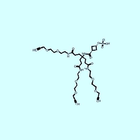 C#CCOCCOCCNC(=O)CCC(CCC(=O)NCCOCCOCC#C)(CCC(=O)NCCOCCOCC#C)NC(=O)[C@H]1C[C@H](OP(=O)(O)CC)C1